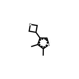 Cc1scc(C2COC2)c1C